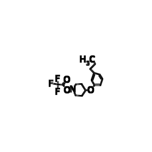 CCCc1cccc(OC2CCN(OC(=O)C(F)(F)F)CC2)c1